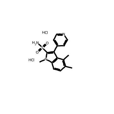 Cc1ccc2c(c1C)c(-c1ccncc1)c(S(N)(=O)=O)n2C.Cl.Cl